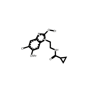 CCOc1nc2cc(Cl)c(OC)cc2n1CCNC(=O)C1CC1